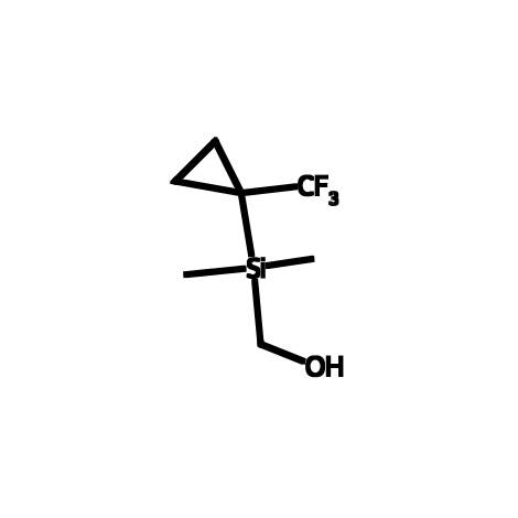 C[Si](C)(CO)C1(C(F)(F)F)CC1